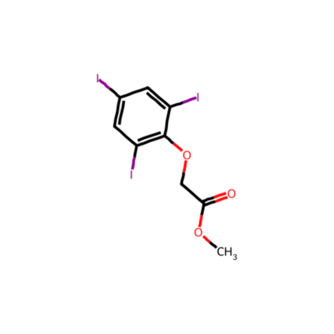 COC(=O)COc1c(I)cc(I)cc1I